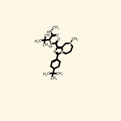 CNC(=O)[C@@H](NC(=O)c1nc(C2=CCC(C(C)(C)C)CC2)n2c1CN(C)CCC2)C(C)(C)C